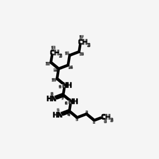 CCCCC(=N)NC(=N)NCC(CC)CCCC